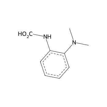 CN(C)c1ccccc1NC(=O)O